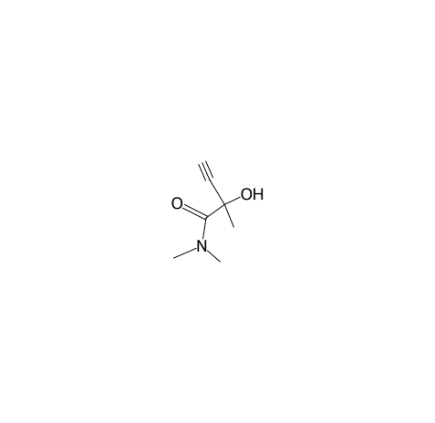 C#CC(C)(O)C(=O)N(C)C